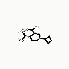 CC(C)[C@H]1CN(C2CCC2)CC[C@H]1C(C)C